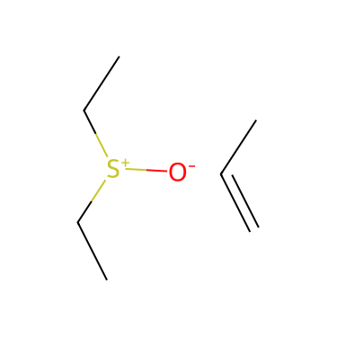 C=CC.CC[S+]([O-])CC